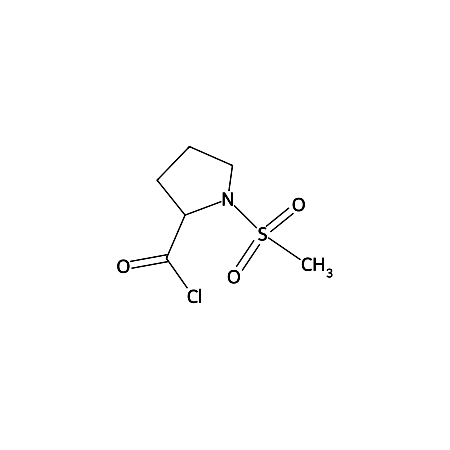 CS(=O)(=O)N1CCCC1C(=O)Cl